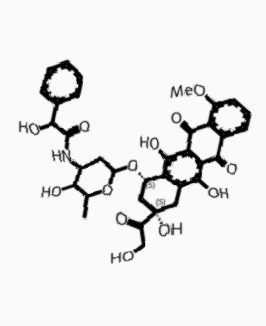 COc1cccc2c1C(=O)c1c(O)c3c(c(O)c1C2=O)C[C@@](O)(C(=O)CO)C[C@@H]3OC1CC(NC(=O)C(O)c2ccccc2)C(O)C(C)O1